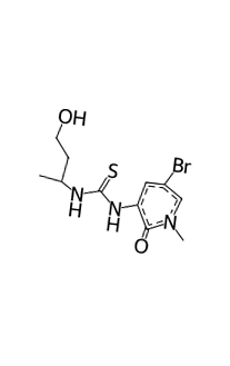 CC(CCO)NC(=S)Nc1cc(Br)cn(C)c1=O